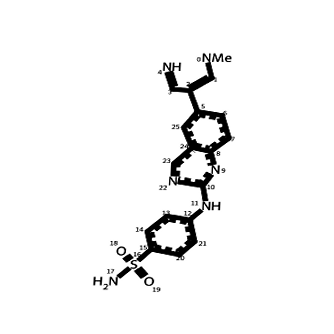 CN/C=C(\C=N)c1ccc2nc(Nc3ccc(S(N)(=O)=O)cc3)ncc2c1